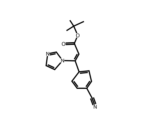 CC(C)(C)OC(=O)C=C(c1ccc(C#N)cc1)n1ccnc1